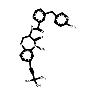 Cc1ccc(Cc2ccnc(C(=O)NC3COc4ccc(C#CC(C)(C)O)cc4N(C)C3=O)c2)cn1